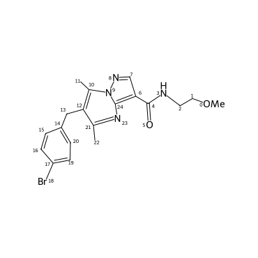 COCCNC(=O)c1cnn2c(C)c(Cc3ccc(Br)cc3)c(C)nc12